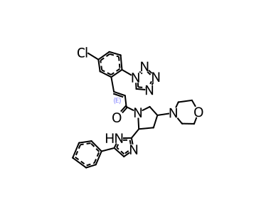 O=C(/C=C/c1cc(Cl)ccc1-n1cnnn1)N1CC(N2CCOCC2)CC1c1ncc(-c2ccccc2)[nH]1